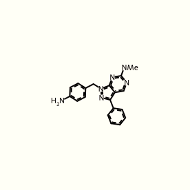 CNc1ncc2c(-c3ccccc3)nn(Cc3ccc(N)cc3)c2n1